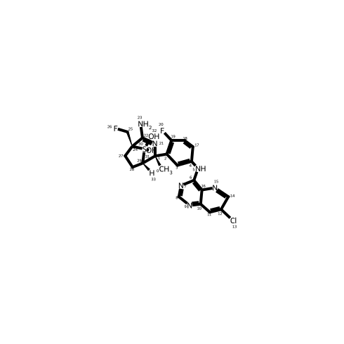 C[C@]1(c2cc(Nc3ncnc4cc(Cl)cnc34)ccc2F)N=C(N)[C@@]2(CF)CC[C@@H]1S2(O)O